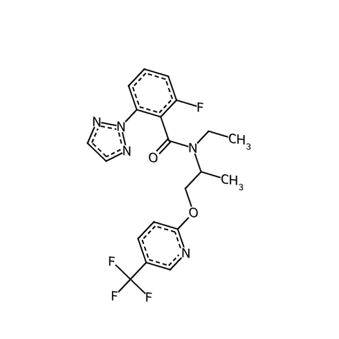 CCN(C(=O)c1c(F)cccc1-n1nccn1)C(C)COc1ccc(C(F)(F)F)cn1